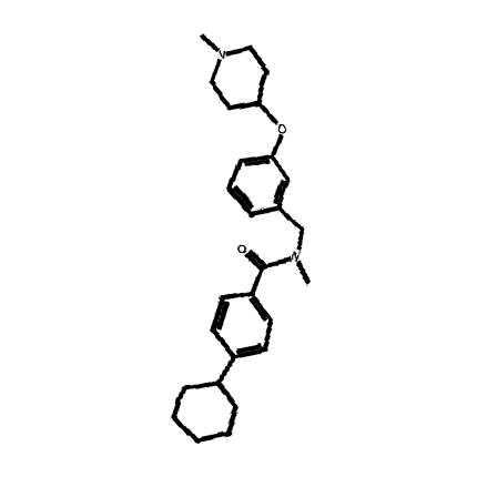 CN1CCC(Oc2cccc(CN(C)C(=O)c3ccc(C4CCCCC4)cc3)c2)CC1